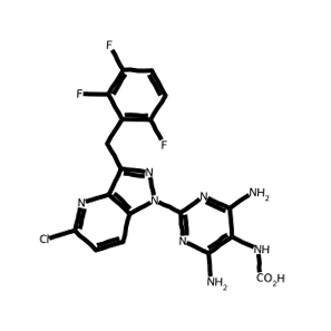 Nc1nc(-n2nc(Cc3c(F)ccc(F)c3F)c3nc(Cl)ccc32)nc(N)c1NC(=O)O